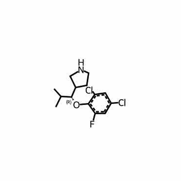 CC(C)[C@@H](Oc1c(F)cc(Cl)cc1Cl)C1CCNC1